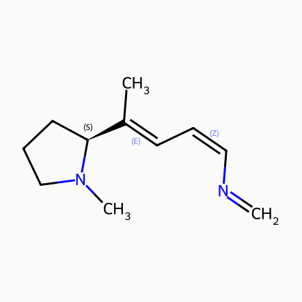 C=N/C=C\C=C(/C)[C@@H]1CCCN1C